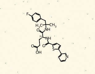 CC(C)(Cc1ccc(F)cc1)NC(=O)[C@H](CCC(=O)O)NC(=O)c1ccc(-c2cccnc2)s1